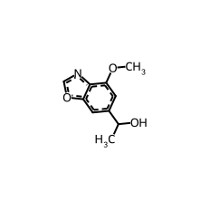 COc1cc(C(C)O)cc2ocnc12